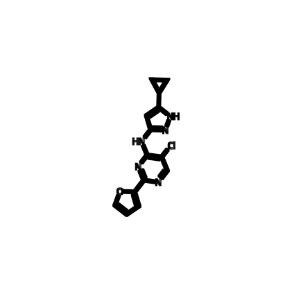 Clc1cnc(-c2ccco2)nc1Nc1cc(C2CC2)[nH]n1